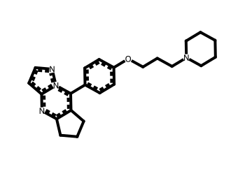 c1cc2nc3c(c(-c4ccc(OCCCN5CCCCC5)cc4)n2n1)CCC3